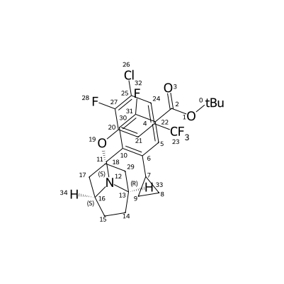 CC(C)(C)OC(=O)c1cc(C2CC2)c(CN2[C@@H]3CC[C@H]2C[C@H](Oc2cc(C(F)(F)F)cc(Cl)c2F)C3)cc1F